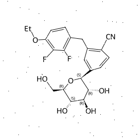 CCOc1ccc(Cc2cc([C@@H]3O[C@H](CO)[C@@H](O)[C@H](O)[C@H]3O)ccc2C#N)c(F)c1F